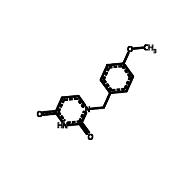 COc1ccc(Cn2ccc(=O)[nH]c2=O)cc1